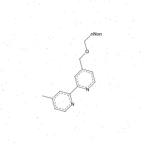 CCCCCCCCCCOCc1ccnc(-c2cc(C)ccn2)c1